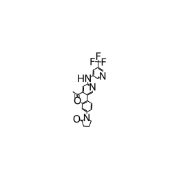 C[C@@H]1Oc2cc(N3CCCC3=O)ccc2-c2cnc(Nc3cncc(C(F)(F)F)c3)cc21